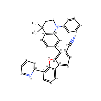 CC1(C)CCN(c2ccccc2)c2cc(-c3c(C#N)ccc4c3oc3c(-c5ccccn5)cccc34)ccc21